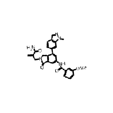 C=C(CN1Cc2c(cc(NC(=O)c3cccc(OC)c3)cc2-c2ccc3cnn(C)c3c2)C1=O)C(N)=O